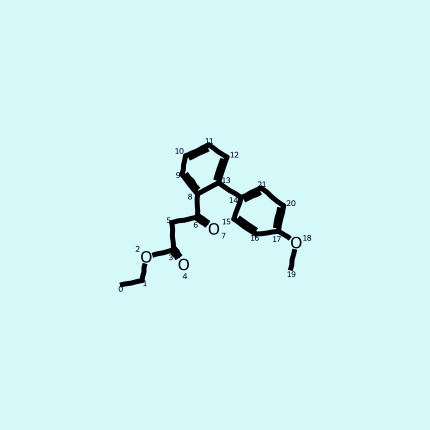 CCOC(=O)CC(=O)c1ccccc1-c1ccc(OC)cc1